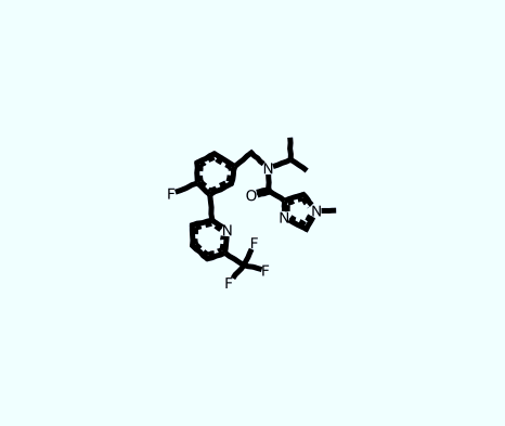 CC(C)N(Cc1ccc(F)c(-c2cccc(C(F)(F)F)n2)c1)C(=O)c1cn(C)cn1